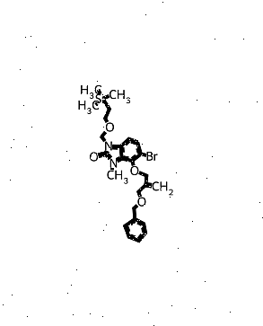 C=C(COCc1ccccc1)COc1c(Br)ccc2c1n(C)c(=O)n2COCC[Si](C)(C)C